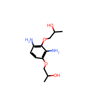 CC(O)COc1ccc(N)c(OCC(C)O)c1N